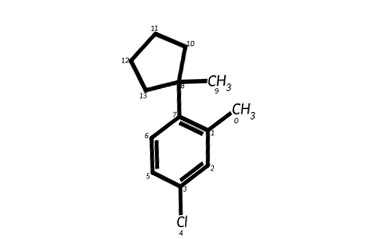 Cc1cc(Cl)ccc1C1(C)CCCC1